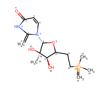 C=C1NC(=O)C=CN1[C@@H]1OC(CCP(=C)(C)C)[C@@H](O)[C@@]1(C)O